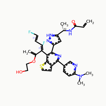 C=CC(=O)N[C@@H](C)c1cc(-c2nc(-c3ccc(N(C)C)nc3)c3ccsc3c2/C(C(=C)OCCO)=C(F)/C=C/F)n[nH]1